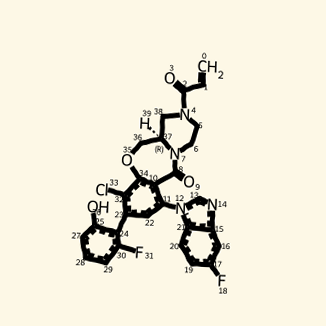 C=CC(=O)N1CCN2C(=O)c3c(-n4cnc5cc(F)ccc54)cc(-c4c(O)cccc4F)c(Cl)c3OC[C@H]2C1